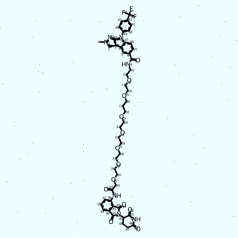 Cn1cc2c3cc(C(=O)NCCOCCOCCCOCCOCCOCCOCCOCC(=O)Nc4cccc5c4C(=O)N(C4CCC(=O)NC4=O)C5=O)ccc3n(-c3ccc(C(F)(F)F)cc3)c2n1